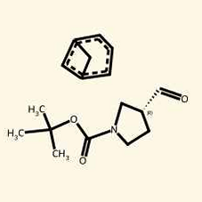 CC(C)(C)OC(=O)N1CC[C@@H](C=O)C1.c1cc2cc(c1)C2